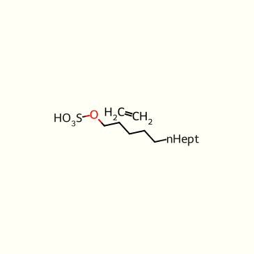 C=C.CCCCCCCCCCCCOS(=O)(=O)O